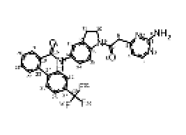 Nc1nccc(CC(=O)N2CCc3cc(NC(=O)c4ccccc4-c4ccc(C(F)(F)F)cc4)ccc32)n1